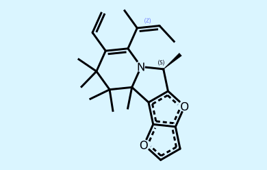 C=CC1=C(/C(C)=C\C)N2[C@@H](C)c3oc4ccoc4c3C2(C)C(C)(C)C1(C)C